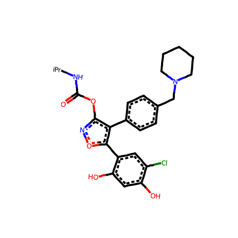 CC(C)NC(=O)Oc1noc(-c2cc(Cl)c(O)cc2O)c1-c1ccc(CN2CCCCC2)cc1